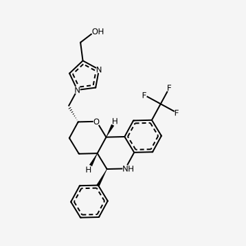 OCc1cn(C[C@H]2CC[C@@H]3[C@H](O2)c2cc(C(F)(F)F)ccc2N[C@H]3c2ccccc2)cn1